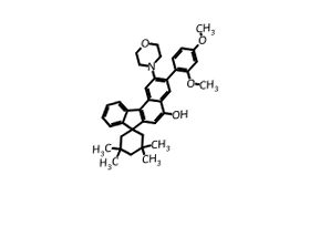 COc1ccc(-c2cc3c(O)cc4c(c3cc2N2CCOCC2)-c2ccccc2C42CC(C)(C)CC(C)(C)C2)c(OC)c1